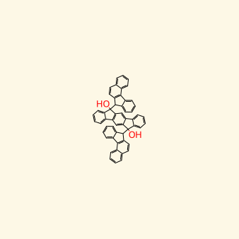 OC1(C2c3ccccc3-c3c2ccc2ccccc32)c2ccccc2-c2cc3c(cc21)-c1ccccc1C3(O)C1c2ccccc2-c2c1ccc1ccccc21